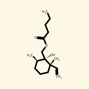 C=C[C@]1(C)CCC[C@@H](C)[C@@]1(O)COC(=O)CCCC